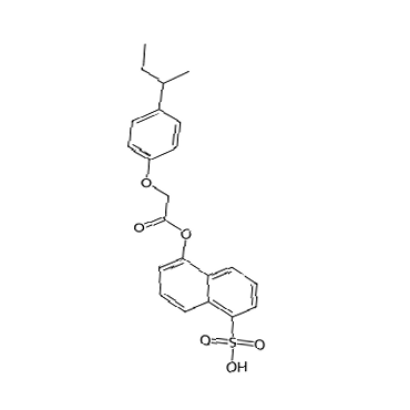 CCC(C)c1ccc(OCC(=O)Oc2cccc3c(S(=O)(=O)O)cccc23)cc1